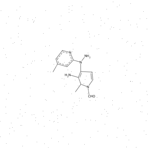 Cc1ccnc(N(N)C2=C(N)C(C)N(C=O)C=C2)c1